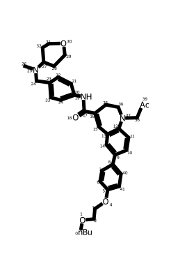 CCCCOCCOc1ccc(-c2ccc3c(c2)C=C(C(=O)Nc2ccc(CN(C)C4CCOCC4)cc2)CCN3CC(C)=O)cc1